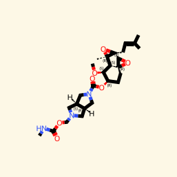 CNC(=O)OCN1C[C@@H]2CN(C(=O)O[C@@H]3CC[C@]4(CO4)[C@@H]([C@@]4(C)O[C@@H]4CC=C(C)C)[C@@H]3OC)C[C@@H]2C1